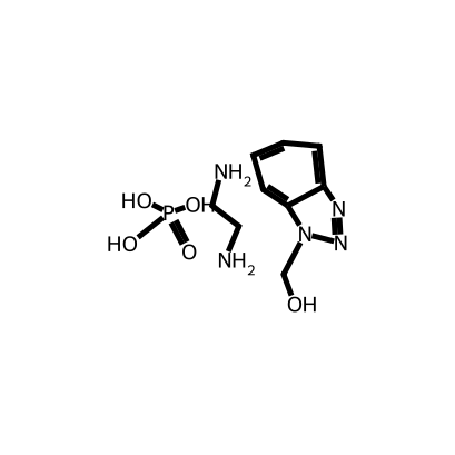 NCCN.O=P(O)(O)O.OCn1nnc2ccccc21